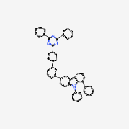 c1ccc(-c2nc(-c3ccccc3)nc(-c3ccc(-c4cccc(-c5ccc6c(c5)c5cccc(-c7ccccc7)c5n6-c5ccccc5)c4)cc3)n2)cc1